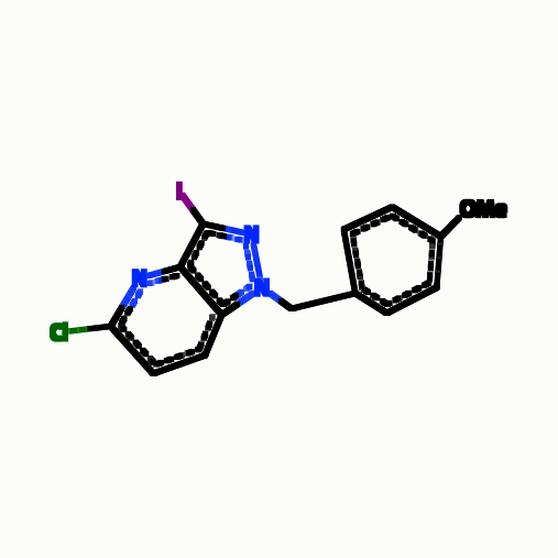 COc1ccc(Cn2nc(I)c3nc(Cl)ccc32)cc1